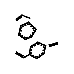 C=C.C=CC.C=Cc1ccccc1.c1ccccc1